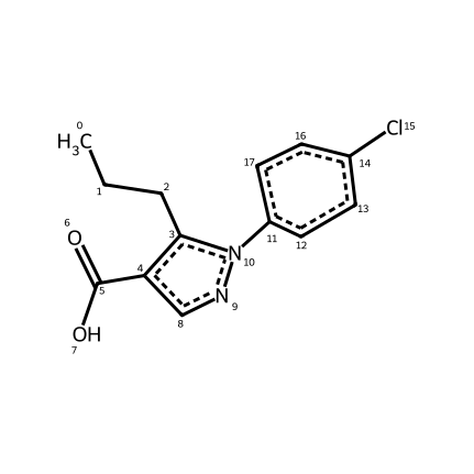 CCCc1c(C(=O)O)cnn1-c1ccc(Cl)cc1